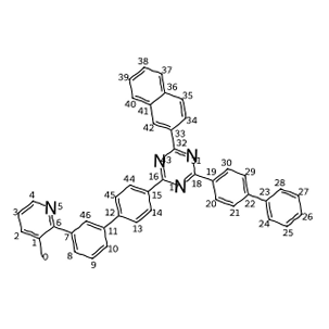 Cc1cccnc1-c1cccc(-c2ccc(-c3nc(-c4ccc(-c5ccccc5)cc4)nc(-c4ccc5ccccc5c4)n3)cc2)c1